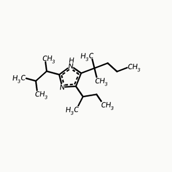 CCCC(C)(C)c1[nH]c(C(C)C(C)C)nc1C(C)CC